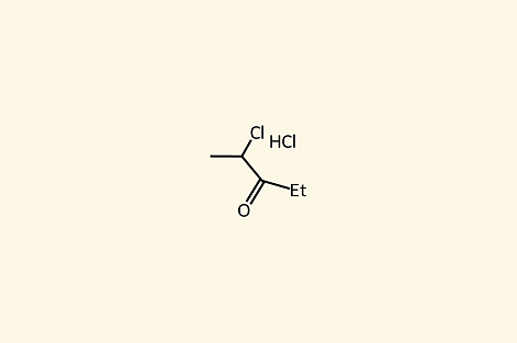 CCC(=O)C(C)Cl.Cl